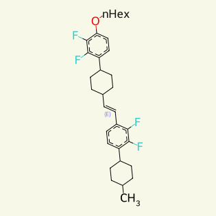 CCCCCCOc1ccc(C2CCC(/C=C/c3ccc(C4CCC(C)CC4)c(F)c3F)CC2)c(F)c1F